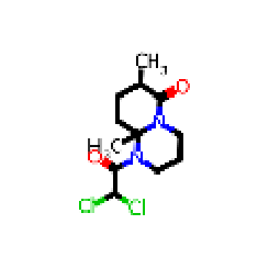 CC1CCC2(C)N(C(=O)C(Cl)Cl)CCCN2C1=O